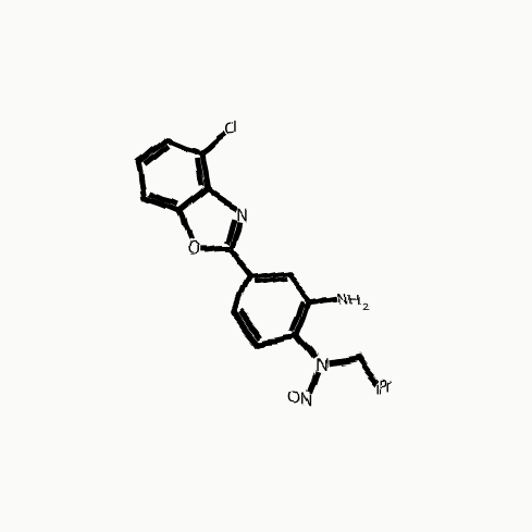 CC(C)CN(N=O)c1ccc(-c2nc3c(Cl)cccc3o2)cc1N